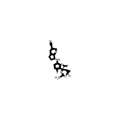 N#Cc1cnc2c(c1)CC[C@H]2Nc1ccc(F)c([C@@]2(C(F)F)N=C(N)O[C@@H]3CC32)c1